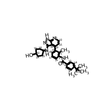 Cc1c(NC(=O)c2ccc(C(C)(C)C)cc2)cccc1-c1ccnc2[nH]nc(NC3CCC(O)CC3)c12